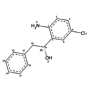 Nc1ccc(Cl)cc1[C@H](O)Cc1ccccc1